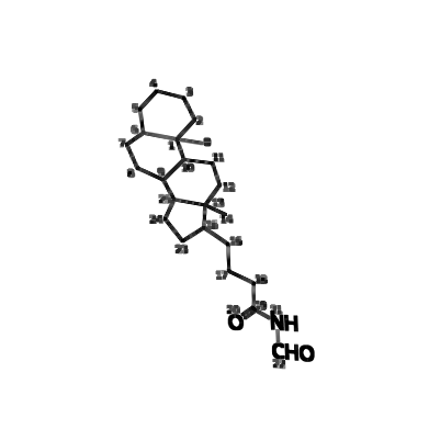 CC12CCCCC1CCC1C2CCC2(C)C(CCCC(=O)NC=O)CCC12